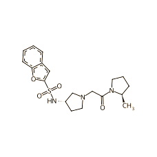 C[C@@H]1CCCN1C(=O)CN1CC[C@H](NS(=O)(=O)c2cc3ccccc3o2)C1